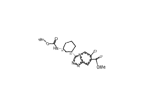 COC(=O)c1cc2nnc([C@H]3CCC[C@@H](NC(=O)OC(C)(C)C)C3)n2cc1Cl